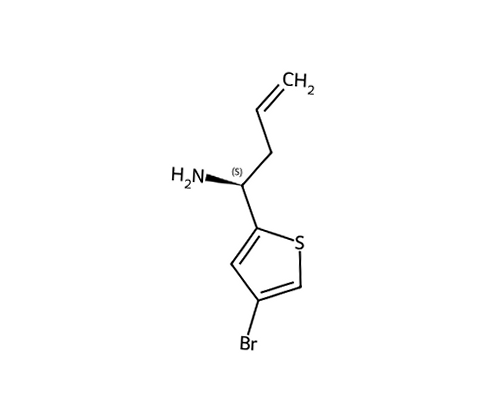 C=CC[C@H](N)c1cc(Br)cs1